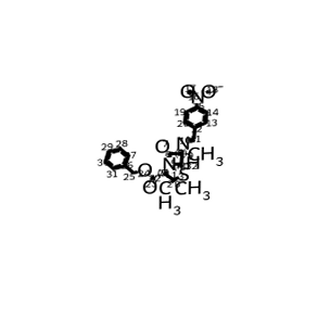 CC1(C)S[C@H]2N(C(=O)[C@@]2(C)N=Cc2ccc([N+](=O)[O-])cc2)[C@H]1C(=O)OCc1ccccc1